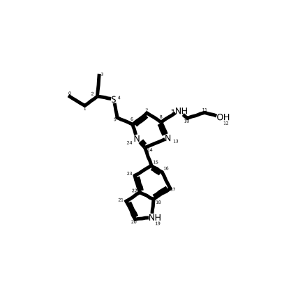 CCC(C)SCc1cc(NCCO)nc(-c2ccc3[nH]ccc3c2)n1